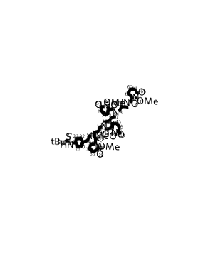 COn1c(C(=O)NCCCN(CCCCN(CCCN(CCc2ccc(NC(=S)C(C)(C)C)cc2)C(=O)c2cccc(=O)n2OC)C(=O)c2cccc(=O)n2OC)C(=O)c2cccc(=O)n2OC)cccc1=O